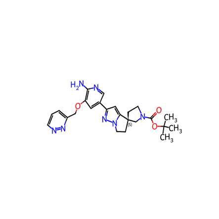 CC(C)(C)OC(=O)N1CC[C@]2(CCn3nc(-c4cnc(N)c(OCc5cccnn5)c4)cc32)C1